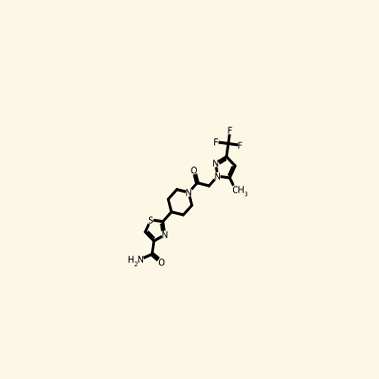 Cc1cc(C(F)(F)F)nn1CC(=O)N1CCC(c2nc(C(N)=O)cs2)CC1